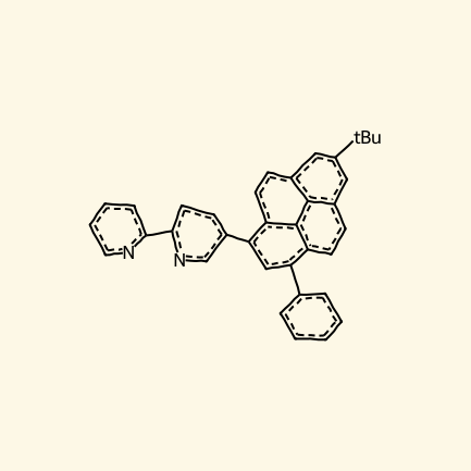 CC(C)(C)c1cc2ccc3c(-c4ccccc4)cc(-c4ccc(-c5ccccn5)nc4)c4ccc(c1)c2c34